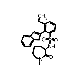 CCc1cccc(S(=O)(=O)N[C@@H]2CCCCNC2=O)c1C1=Cc2ccccc2C1